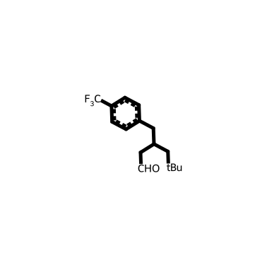 CC(C)(C)CC(CC=O)Cc1ccc(C(F)(F)F)cc1